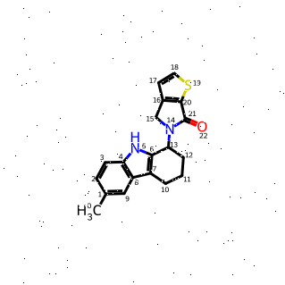 Cc1ccc2[nH]c3c(c2c1)CCCC3N1Cc2ccsc2C1=O